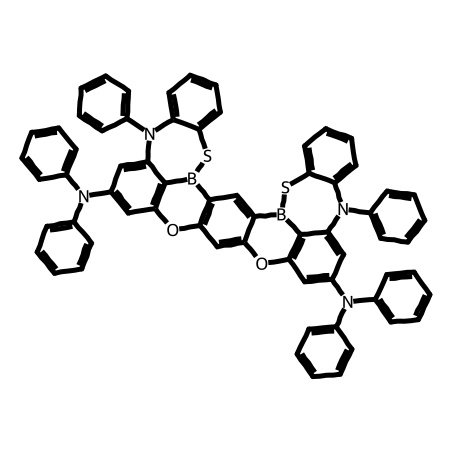 c1ccc(N(c2ccccc2)c2cc3c4c(c2)N(c2ccccc2)c2ccccc2SB4c2cc4c(cc2O3)Oc2cc(N(c3ccccc3)c3ccccc3)cc3c2B4Sc2ccccc2N3c2ccccc2)cc1